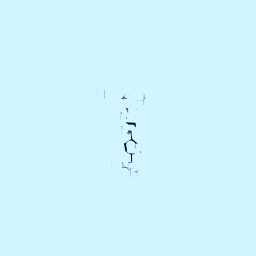 CNC(=O)c1ccc(-c2nc(NC(=O)OC(C)(C)C)cs2)cn1